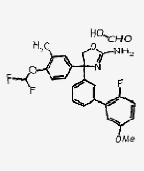 COc1ccc(F)c(-c2cccc(C3(c4ccc(OC(F)F)c(C)c4)COC(N)=N3)c2)c1.O=CO